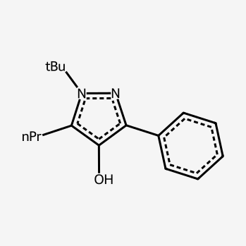 CCCc1c(O)c(-c2ccccc2)nn1C(C)(C)C